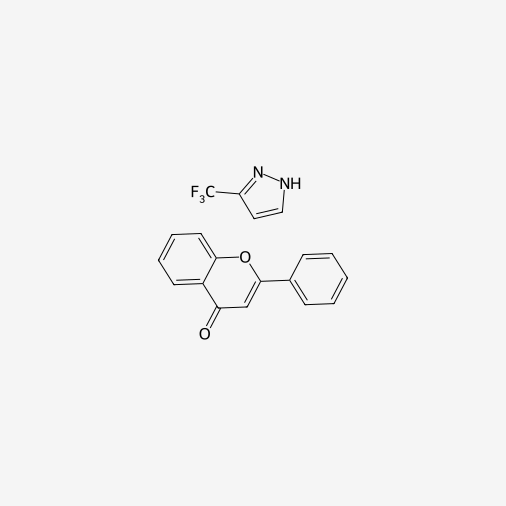 FC(F)(F)c1cc[nH]n1.O=c1cc(-c2ccccc2)oc2ccccc12